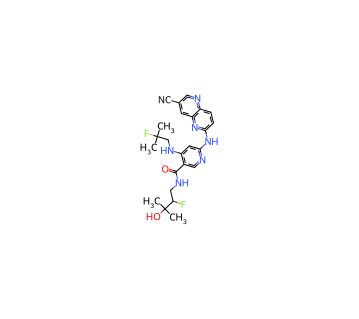 CC(C)(F)CNc1cc(Nc2ccc3ncc(C#N)cc3n2)ncc1C(=O)NC[C@@H](F)C(C)(C)O